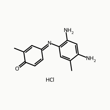 CC1=CC(=Nc2cc(C)c(N)cc2N)C=CC1=O.Cl